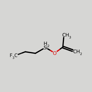 C=C(C)O[SiH2]CCC(F)(F)F